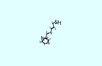 SCCCCCc1ccccn1